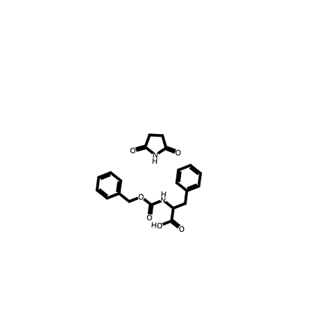 O=C(NC(Cc1ccccc1)C(=O)O)OCc1ccccc1.O=C1CCC(=O)N1